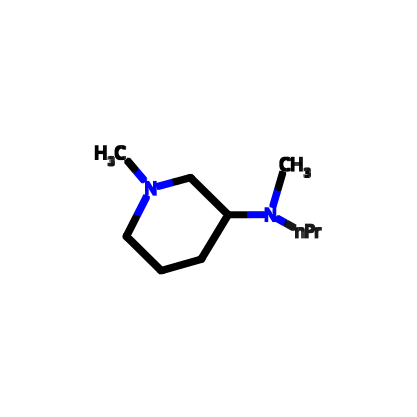 CCCN(C)C1CCCN(C)C1